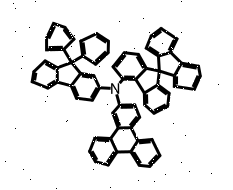 c1ccc(C2(c3ccccc3)c3ccccc3-c3ccc(N(c4ccc5c6ccccc6c6ccccc6c5c4)c4cccc5c4-c4ccccc4C54c5ccccc5-c5ccccc54)cc32)cc1